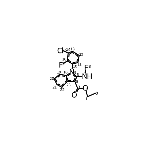 CCOC(=O)c1c(NF)n(-c2cccc(Cl)c2F)c2ccccc12